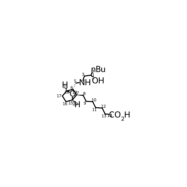 CCCCC(O)CNC[C@@H]1[C@@H](CCCCCCC(=O)O)[C@@H]2CC[C@H]1O2